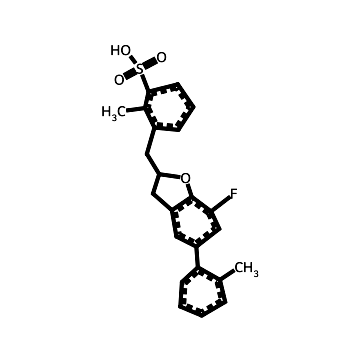 Cc1ccccc1-c1cc(F)c2c(c1)CC(Cc1cccc(S(=O)(=O)O)c1C)O2